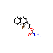 NC(=O)OCCc1ccc2ccccc2c1Br